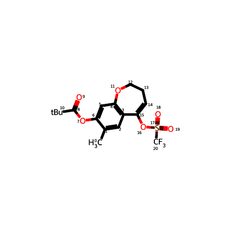 Cc1cc2c(cc1OC(=O)C(C)(C)C)OCCC=C2OS(=O)(=O)C(F)(F)F